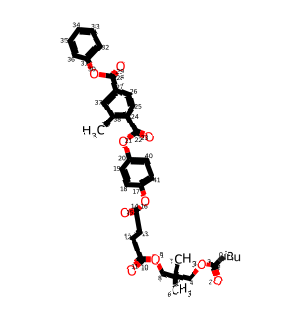 CCC(C)C(=O)OCC(C)(C)COC(=O)CCC(=O)Oc1ccc(OC(=O)c2ccc(C(=O)Oc3ccccc3)cc2C)cc1